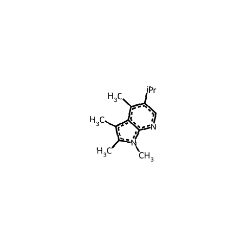 Cc1c(C(C)C)cnc2c1c(C)c(C)n2C